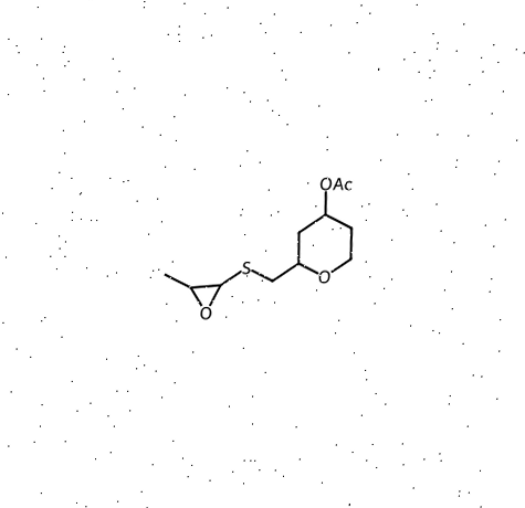 CC(=O)OC1CCOC(CSC2OC2C)C1